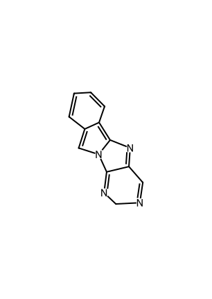 C1=NCN=c2c1nc1c3ccccc3cn21